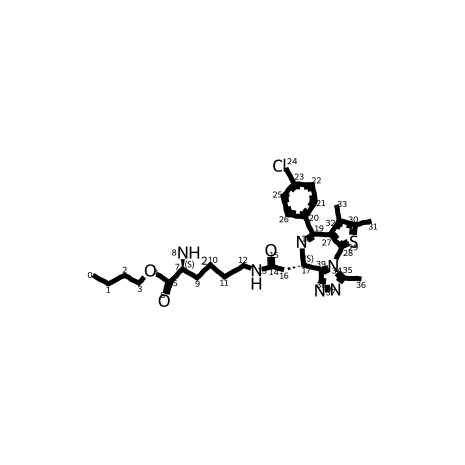 CCCCOC(=O)[C@@H](N)CCCCNC(=O)C[C@@H]1N=C(c2ccc(Cl)cc2)c2c(sc(C)c2C)-n2c(C)nnc21